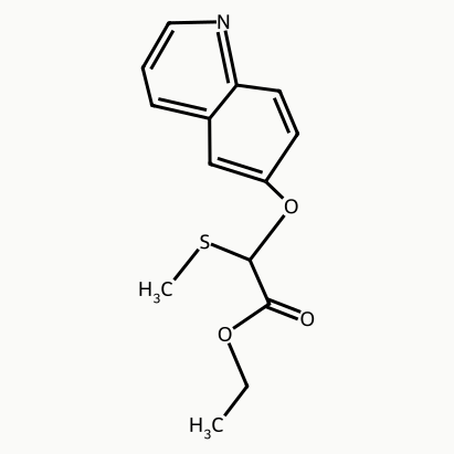 CCOC(=O)C(Oc1ccc2ncccc2c1)SC